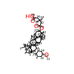 C=C(C)[C@@H]1CC[C@]2(CC3CCC(OC)CC3)CC[C@]3(C)[C@H](CC[C@@H]4[C@@]5(C)CC[C@H](OC(=O)CC(C)(C)CC(=O)O)C(C)(C)[C@@H]5CC[C@]43C)[C@@H]12